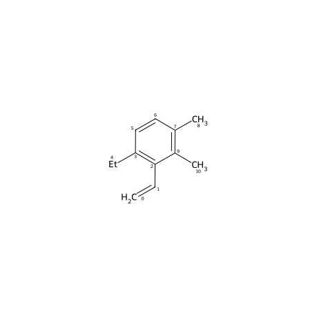 C=Cc1c(CC)ccc(C)c1C